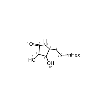 CCCCCCSCC1NC(=O)C(O)C1O